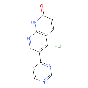 Cl.O=c1ccc2cc(-c3ccncn3)cnc2[nH]1